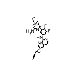 CC#CCOc1cnc2c(Nc3cc(F)c(F)c([C@]4(C)N=C(N)S[C@@]5(COC)C[C@H]54)c3)nccc2c1